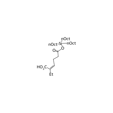 CCCCCCCC[Si](CCCCCCCC)(CCCCCCCC)OC(=O)CCC=C(CC)C(=O)O